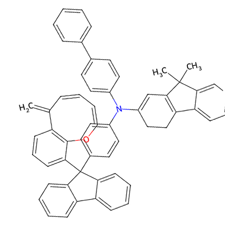 C=C1/C=C\C=C/Oc2c1cccc2C1(c2ccc(N(C3=CC4=C(CC3)c3ccccc3C4(C)C)c3ccc(-c4ccccc4)cc3)cc2)c2ccccc2-c2ccccc21